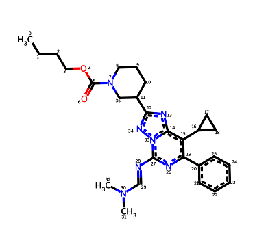 CCCCOC(=O)N1CCCC(c2nc3c(C4CC4)c(-c4ccccc4)nc(N=CN(C)C)n3n2)C1